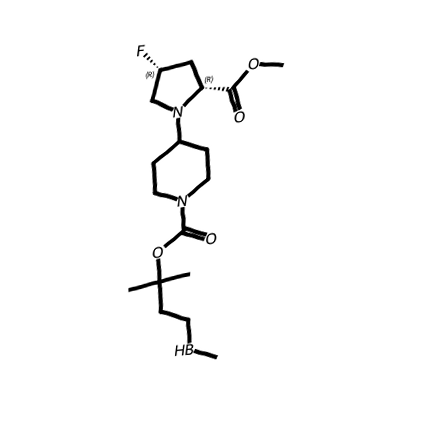 CBCCC(C)(C)OC(=O)N1CCC(N2C[C@H](F)C[C@@H]2C(=O)OC)CC1